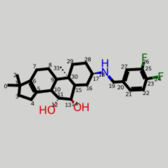 CC1(C)CCC2=C1CCC1C2[C@@H](O)[C@H](O)C2C[C@H](NCc3ccc(F)c(F)c3)CC[C@]12C